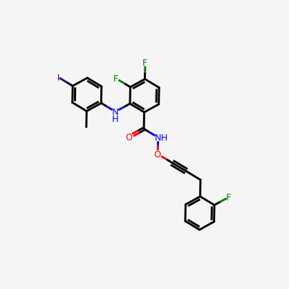 Cc1cc(I)ccc1Nc1c(C(=O)NOC#CCc2ccccc2F)ccc(F)c1F